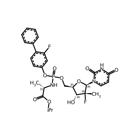 CC(C)OC(=O)[C@H](C)NP(=O)(OC[C@H]1O[C@@H](n2ccc(=O)[nH]c2=O)[C@](C)(F)[C@@H]1O)Oc1ccc(-c2ccccc2)c(F)c1